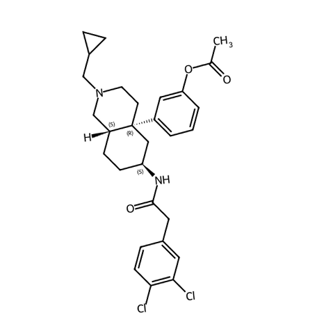 CC(=O)Oc1cccc([C@@]23CCN(CC4CC4)C[C@H]2CC[C@H](NC(=O)Cc2ccc(Cl)c(Cl)c2)C3)c1